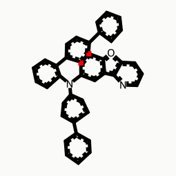 c1ccc(-c2ccc(-c3ccccc3N(c3ccc(-c4ccccc4)cc3)c3ccc4oc5cccnc5c4c3)cc2)cc1